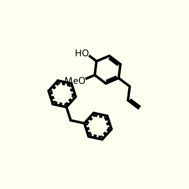 C=CCC1=CC(OC)C(O)C=C1.c1ccc(Cc2ccccc2)cc1